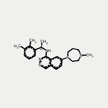 Cc1cccc([C@@H](C)Nc2nncc3ccc(N4CCCN(C)CC4)cc23)c1C